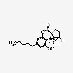 CCCCCc1cc(O)c2c(c1)OC(=O)[C@]13CC[C@H](C=C21)C3(C)C